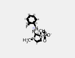 CN1C=C[N+](C)(S(=O)(=O)[O-])C1/N=N/c1ccccc1F